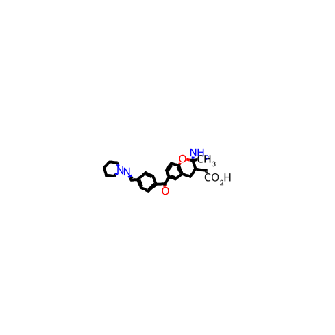 CC1(N)Oc2ccc(C(=O)c3ccc(C=NN4CCCCC4)cc3)cc2CC1CC(=O)O